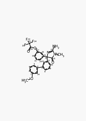 COc1cccc(-c2cccc(C3(c4cccc(OC(=O)C(F)(F)F)c4)N=C(N)N(C)C3=O)c2)c1